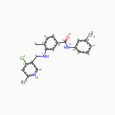 CCc1cc(Cl)c(CNc2cc(C(=O)Nc3cccc(C(F)(F)F)c3)ccc2C)cn1